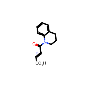 O=C(O)/C=C/C(=O)N1CCCc2ccccc21